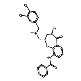 CC(C)N1C[C@@H](CN(C)Cc2ccc(Cl)c(Cl)c2)Oc2c(NC(=O)c3ccncc3)cccc2C1=O